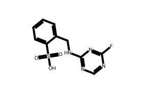 O=S(=O)(O)c1ccccc1CNc1n[c]nc(F)n1